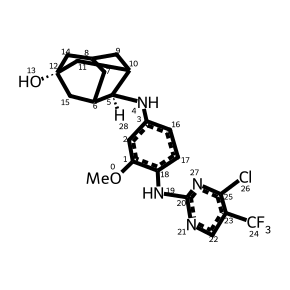 COc1cc(N[C@H]2C3CC4CC2C[C@](O)(C4)C3)ccc1Nc1ncc(C(F)(F)F)c(Cl)n1